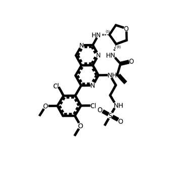 C=CC(=O)N[C@H]1COC[C@H]1Nc1ncc2cc(-c3c(Cl)c(OC)cc(OC)c3Cl)nc(NCCNS(C)(=O)=O)c2n1